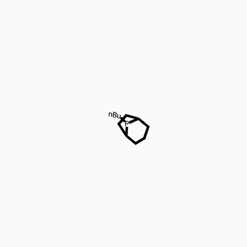 CCCCP1C2CCCC1CC2